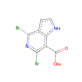 O=C(O)c1c(Br)nc(Br)c2cc[nH]c12